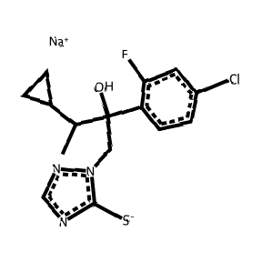 CC(C1CC1)C(O)(Cn1ncnc1[S-])c1ccc(Cl)cc1F.[Na+]